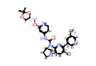 CC1(C)OC[C@@H](COc2cc(NC(=O)N3c4nc(-c5cncc(C(F)(F)F)c5)c(Cl)cc4N4CCC3C4)ccn2)O1